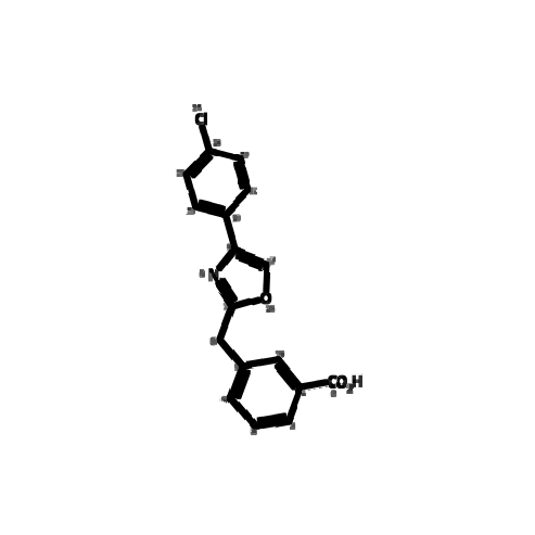 O=C(O)c1cccc(Cc2nc(-c3ccc(Cl)cc3)co2)c1